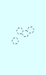 Oc1cccc(-c2cccc3c2c[c]c2ccccc23)c1